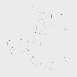 COCCOC(=O)CCc1ccc(N(c2ccc3c(c2)C(C)(C)c2ccccc2-3)c2ccc3sc(-c4sc5ccc(N(c6ccc(CCCC(C)=O)cc6)c6ccc7c(c6)C(C)(C)c6ccccc6-7)cc5c4C)c(C)c3c2)cc1